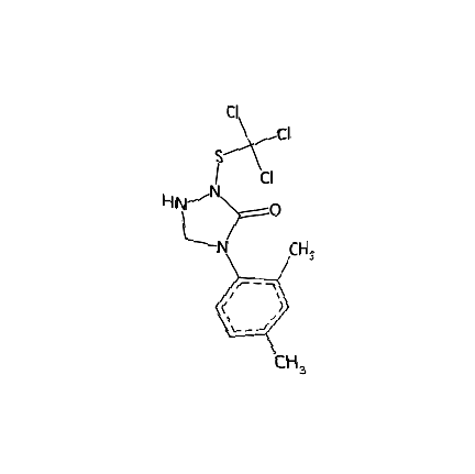 Cc1ccc(N2CNN(SC(Cl)(Cl)Cl)C2=O)c(C)c1